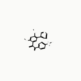 C=C(C(=O)c1ccc(S(N)(=O)=O)cc1)c1cc(-c2cccnc2)c(OC)cc1OC